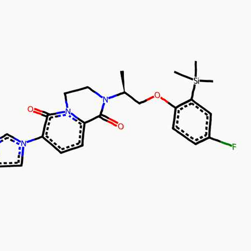 Cc1cn(-c2ccc3n(c2=O)CCN([C@@H](C)COc2ccc(F)cc2[Si](C)(C)C)C3=O)cn1